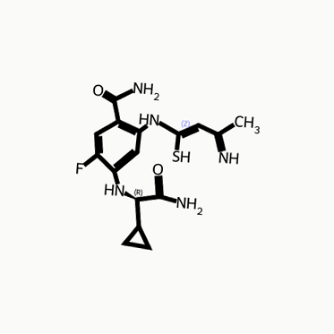 CC(=N)/C=C(\S)Nc1cc(N[C@@H](C(N)=O)C2CC2)c(F)cc1C(N)=O